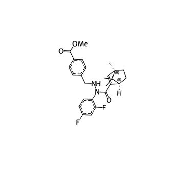 COC(=O)c1ccc(CNN(C(=O)C2=C[C@@]3(C)CC[C@@H]2C3(C)C)c2ccc(F)cc2F)cc1